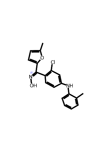 Cc1ccc(/C(=N/O)c2ccc(Nc3ccccc3C)cc2Cl)o1